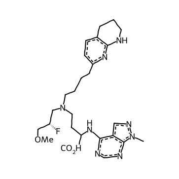 COC[C@@H](F)CN(CCCCc1ccc2c(n1)NCCC2)CCC(Nc1ncnc2c1cnn2C)C(=O)O